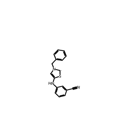 N#Cc1cccc(NC2=CN(Cc3ccccc3)[CH]S2)c1